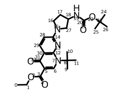 CCOC(=O)c1cn(C(C)(C)C)c2nc(N3CCC(NC(=O)OC(C)(C)C)C3)ccc2c1=O